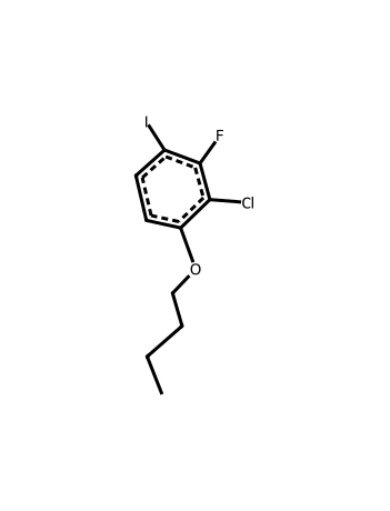 CCCCOc1ccc(I)c(F)c1Cl